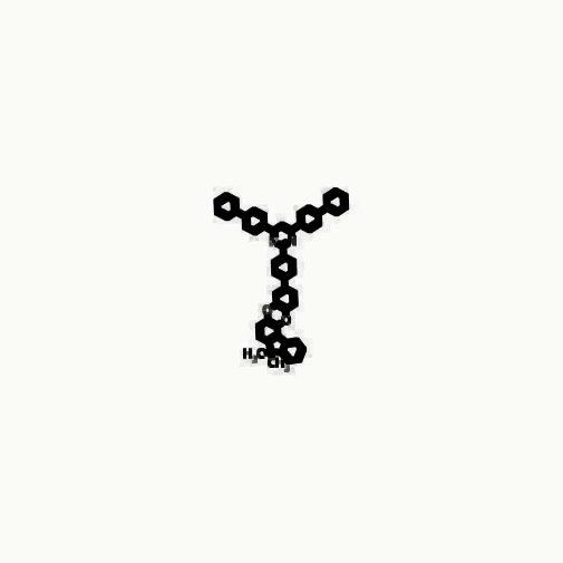 CC1(C)c2ccccc2-c2c1ccc1c2Oc2ccc(-c3ccc(-c4nc(-c5ccc(-c6ccccc6)cc5)cc(-c5ccc(-c6ccccc6)cc5)n4)cc3)cc2O1